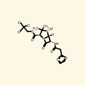 CC1(C)[C@H](C(=O)OCC(Cl)(Cl)Cl)N2C(=O)[C@@H](NC(=O)Cc3nccs3)[C@H]2[S@@+]1[O-]